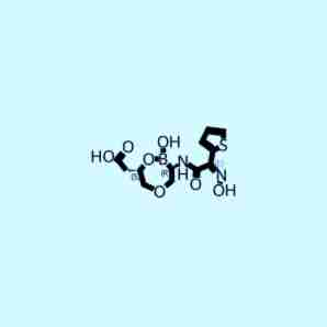 O=C(O)C[C@H]1COC[C@H](NC(=O)/C(=N\O)c2cccs2)B(O)O1